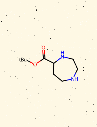 CC(C)(C)OC(=O)C1CCNCCN1